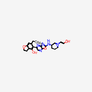 COCc1cc2c(c(O)c1-c1cnc3oc(N[C@@H]4CCCN(CCO)C4)nc3n1)CCO2